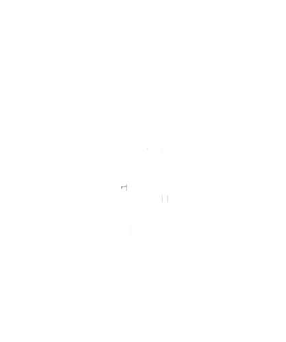 CC1=CC2=C(C=CC=CC2c2ccccc2)C1C([SiH3])(c1ccc(Cl)cc1)C1C(C)=CC2=C1C=CC=CC2c1ccccc1